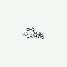 C[C@H]1CC[C@H](Cn2c(C3CC3)nc3nc(-c4n[nH]c(=O)o4)nc(-c4cccc(Cl)c4)c32)CC1